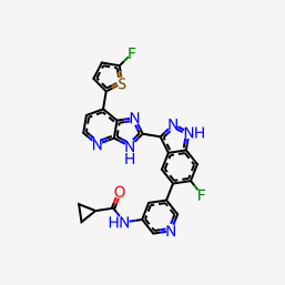 O=C(Nc1cncc(-c2cc3c(-c4nc5c(-c6ccc(F)s6)ccnc5[nH]4)n[nH]c3cc2F)c1)C1CC1